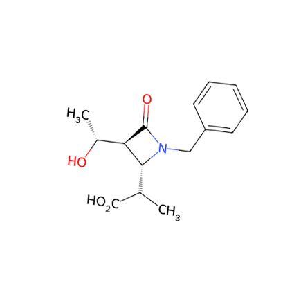 CC(C(=O)O)[C@@H]1[C@@H]([C@@H](C)O)C(=O)N1Cc1ccccc1